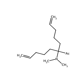 C=CCCCC(CCCC=C)(C(C)=O)N(C)C